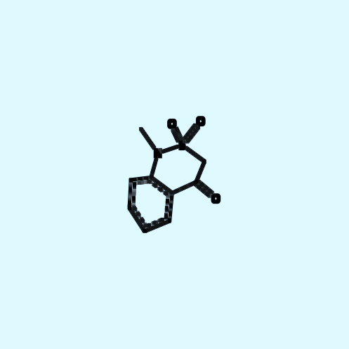 CN1c2ccccc2C(=O)CS1(=O)=O